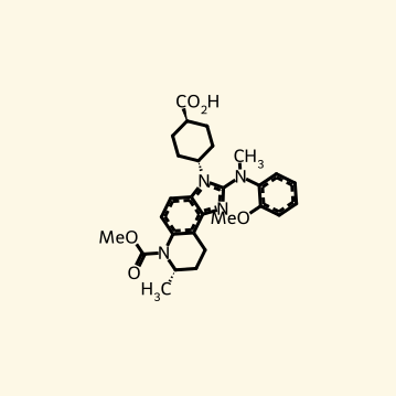 COC(=O)N1c2ccc3c(nc(N(C)c4ccccc4OC)n3[C@H]3CC[C@H](C(=O)O)CC3)c2CC[C@@H]1C